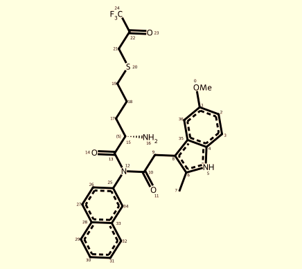 COc1ccc2[nH]c(C)c(CC(=O)N(C(=O)[C@@H](N)CCCSCC(=O)C(F)(F)F)c3ccc4ccccc4c3)c2c1